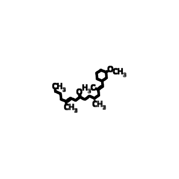 CCCC/C(C)=C/CC(=O)CC[C@@H](C)C/C(C)=C/C1CCCC(OC)C1